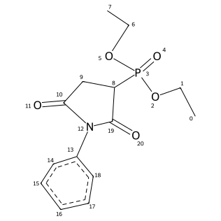 CCOP(=O)(OCC)C1CC(=O)N(c2ccccc2)C1=O